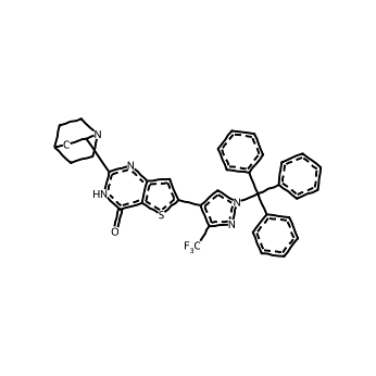 O=c1[nH]c(C2CC3CCN2CC3)nc2cc(-c3cn(C(c4ccccc4)(c4ccccc4)c4ccccc4)nc3C(F)(F)F)sc12